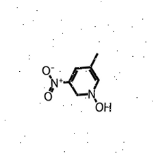 CC1=CN(O)CC([N+](=O)[O-])=C1